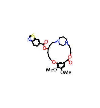 COc1cc2cc(c1OC)OCCCC(OC(=O)c1ccc3ncsc3c1)CCN1CCCN(CCCOC2=O)CC1